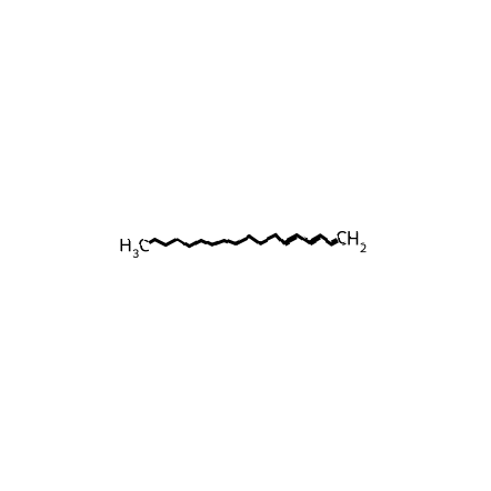 C=CC=CC=CCCCCCCCCCCCC